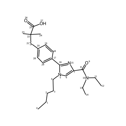 CCCCCn1cc(C(=O)N(CC)CC)nc1-c1ccc(SC(C)(C)C(=O)O)cc1